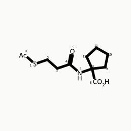 CC(=O)SCCC(=O)NC1(C(=O)O)CCCC1